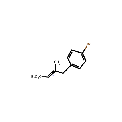 CCOC(=O)/C=C(\C)Cc1ccc(Br)cc1